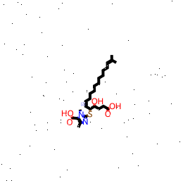 CC(C)=CCCCCCCCCC/C=C\C(Sc1nc(C)c(C(=O)O)n1C)C(O)CCC(=O)O